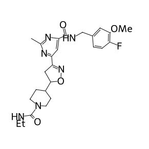 CCNC(=O)N1CCC(C2CC(c3cc(C(=O)NCc4ccc(F)c(OC)c4)nc(C)n3)=NO2)CC1